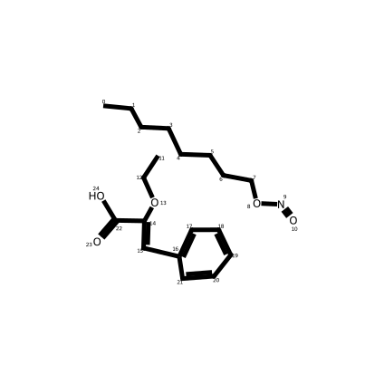 CCCCCCCCON=O.CCOC(=Cc1ccccc1)C(=O)O